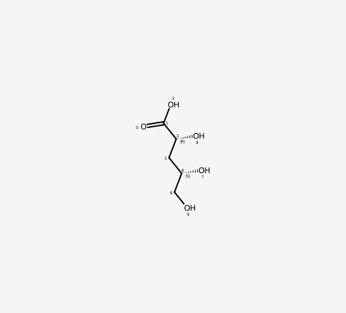 O=C(O)[C@H](O)C[C@H](O)CO